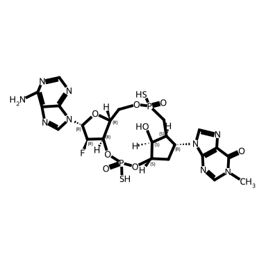 Cn1cnc2c(ncn2[C@@H]2C[C@@H]3OP(=O)(S)O[C@H]4[C@@H](F)[C@H](n5cnc6c(N)ncnc65)O[C@@H]4COP(=O)(S)C[C@@H]2[C@@H]3O)c1=O